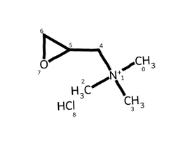 C[N+](C)(C)CC1CO1.Cl